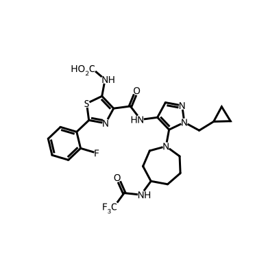 O=C(O)Nc1sc(-c2ccccc2F)nc1C(=O)Nc1cnn(CC2CC2)c1N1CCCC(NC(=O)C(F)(F)F)CC1